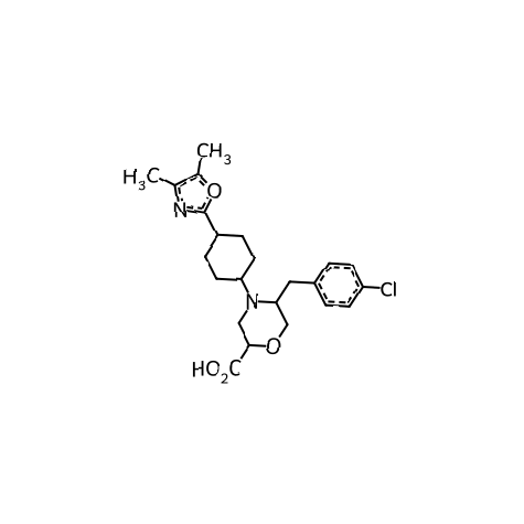 Cc1nc(C2CCC(N3CC(C(=O)O)OCC3Cc3ccc(Cl)cc3)CC2)oc1C